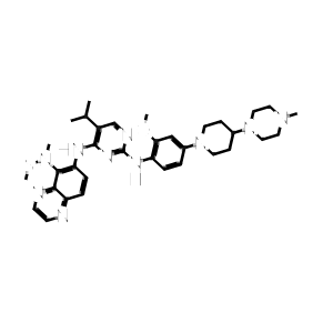 COc1cc(N2CCC(N3CCN(C)CC3)CC2)ccc1Nc1ncc(C(C)C)c(Nc2ccc3nccnc3c2N(C)SC)n1